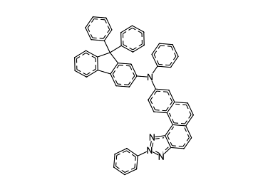 c1ccc(N(c2ccc3c(c2)C(c2ccccc2)(c2ccccc2)c2ccccc2-3)c2ccc3c(ccc4ccc5nn(-c6ccccc6)nc5c43)c2)cc1